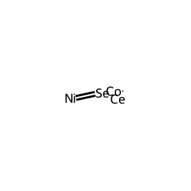 [Ce].[Co].[Ni]=[Se]